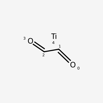 O=CC=O.[Ti]